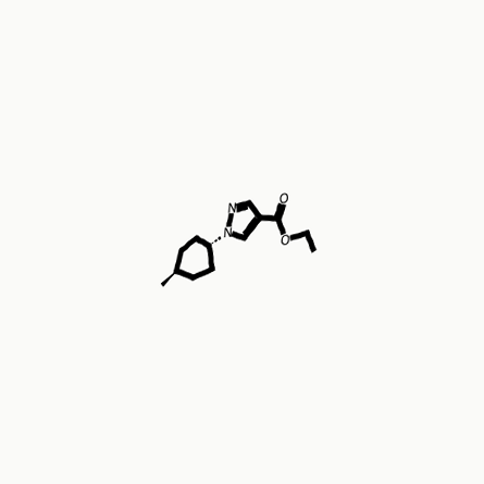 CCOC(=O)c1cnn([C@H]2CC[C@H](C)CC2)c1